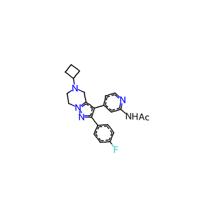 CC(=O)Nc1cc(-c2c(-c3ccc(F)cc3)nn3c2CN(C2CCC2)CC3)ccn1